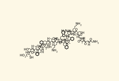 CC(NC(=O)CNC(=O)CN)C(=O)NCC(=O)NC(CS)C(=O)NC(CCCCN)C(=O)NC(CC(N)=O)C(=O)c1ccccc1NC(C)C(=O)NC(Cc1ccccc1)C(=O)NC(Cc1c[nH]c2ccccc12)C(=O)NC(CCCCN)C(=O)NC(C(=O)NC(Cc1ccccc1)C(=O)NC(C(=O)NC(Cc1ccccc1)C(=O)NC(C(=O)NC(CO)C(=O)NC(CS)C(=O)O)C(C)O)C(C)O)C(C)O